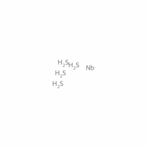 S.S.S.S.[Nb]